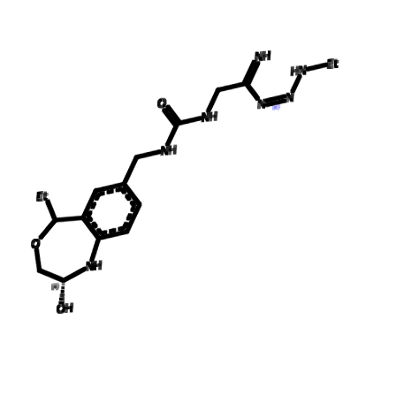 CCN/N=N\C(=N)CNC(=O)NCc1ccc2c(c1)C(CC)OC[C@@H](O)N2